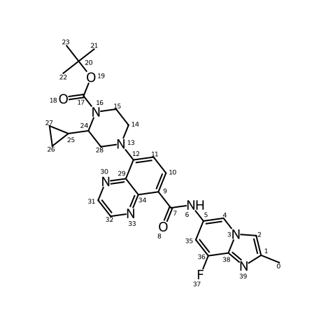 Cc1cn2cc(NC(=O)c3ccc(N4CCN(C(=O)OC(C)(C)C)C(C5CC5)C4)c4nccnc34)cc(F)c2n1